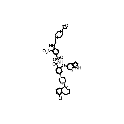 O=C(NS(=O)(=O)c1ccc(NCCN2CCN(C3COC3)CC2)c([N+](=O)[O-])c1)c1ccc(N2CCN([C@@H]3CCCCc4c(Cl)cccc43)CC2)cc1Oc1cnc2[nH]ccc2c1